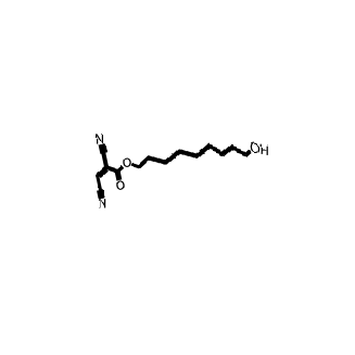 N#C/C=C(/C#N)C(=O)OCCCCCCCCCO